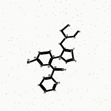 CCN(CC)Cc1nncn1-c1ccc(Br)cc1C(=O)c1ccccn1